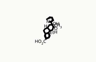 CC[C@@]12C[C@@](C)(O)[C@](O)(c3ccccn3)C[C@H]1CCc1cc(C(=O)O)ccc12